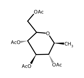 CC(=O)OCC1O[C@@H](C)[C@H](OC(C)=O)[C@@H](OC(C)=O)[C@@H]1OC(C)=O